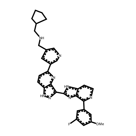 COc1cc(F)cc(-c2nccc3[nH]c(-c4n[nH]c5ccc(-c6cncc(CNCC7CCCC7)c6)nc45)nc23)c1